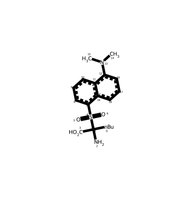 CCCCC(N)(C(=O)O)S(=O)(=O)c1cccc2c(N(C)C)cccc12